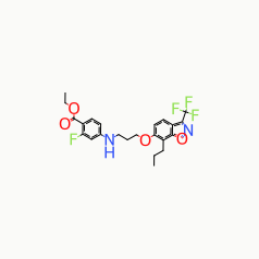 CCCc1c(OCCCNc2ccc(C(=O)OCC)c(F)c2)ccc2c(C(F)(F)F)noc12